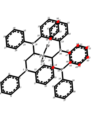 [Br][Pd]([Br])([CH](CP(c1ccccc1)c1ccccc1)P(c1ccccc1)c1ccccc1)[CH](CP(c1ccccc1)c1ccccc1)P(c1ccccc1)c1ccccc1